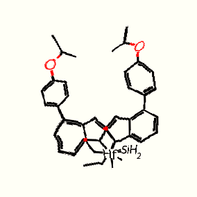 C[CH2][Hf]([CH3])([CH3])(=[SiH2])([CH2]C)([CH]1C=Cc2c(-c3ccc(OC(C)C)cc3)cccc21)[CH]1C=Cc2c(-c3ccc(OC(C)C)cc3)cccc21